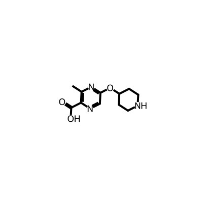 Cc1nc(OC2CCNCC2)cnc1C(=O)O